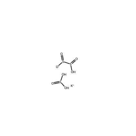 O=S(O)O.O=S([O-])S(=O)O.[K+]